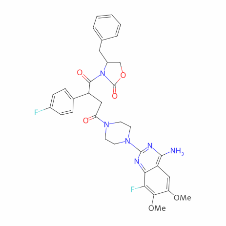 COc1cc2c(N)nc(N3CCN(C(=O)CC(C(=O)N4C(=O)OCC4Cc4ccccc4)c4ccc(F)cc4)CC3)nc2c(F)c1OC